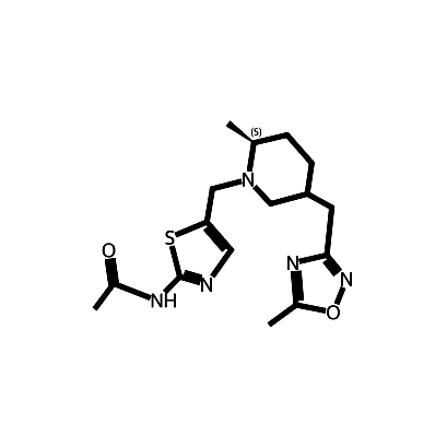 CC(=O)Nc1ncc(CN2CC(Cc3noc(C)n3)CC[C@@H]2C)s1